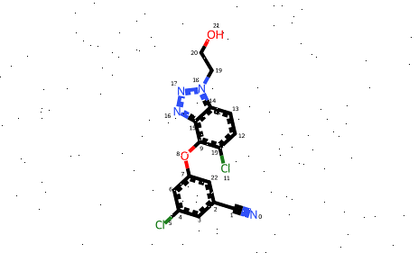 N#Cc1cc(Cl)cc(Oc2c(Cl)ccc3c2nnn3CCO)c1